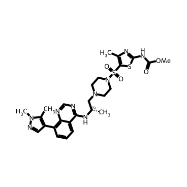 COC(=O)Nc1nc(C)c(S(=O)(=O)N2CCN(C[C@H](C)Nc3ncnc4c(-c5cnn(C)c5C)cccc34)CC2)s1